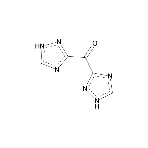 O=C(c1nc[nH]n1)c1nc[nH]n1